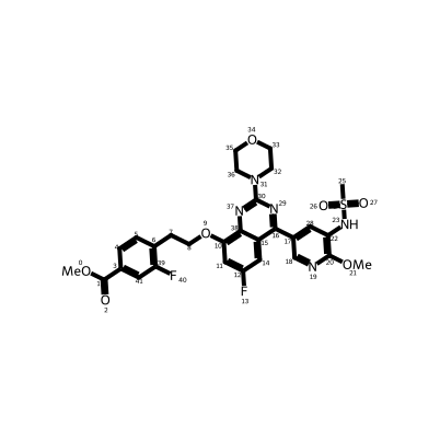 COC(=O)c1ccc(CCOc2cc(F)cc3c(-c4cnc(OC)c(NS(C)(=O)=O)c4)nc(N4CCOCC4)nc23)c(F)c1